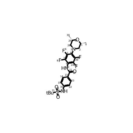 C[C@@H]1CN(c2c(F)c(F)c(NC(=O)c3ccc(NS(=O)(=O)C(C)(C)C)cc3)c(F)c2F)C[C@H](C)O1